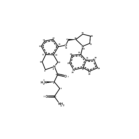 NC(=O)C[C@@H](N)C(=O)N1CCc2cccc(OC[C@H]3CCCN3c3ccnc4ncnn34)c2C1